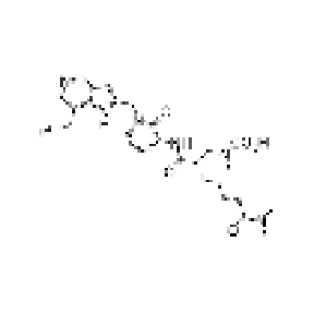 CC(C)Cc1cncc2cc(Cn3cccc(NC(=O)[C@@H](CC/C=C/C(=O)N(C)C)CN(C)C(=O)O)c3=O)[nH]c12